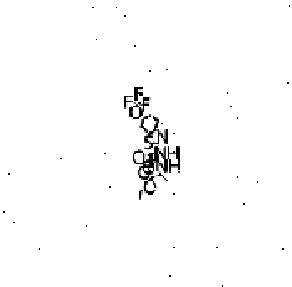 CCOC(=O)C(C)NP(=O)(COC)Nc1nc2ccc(OC(F)(F)F)cc2s1